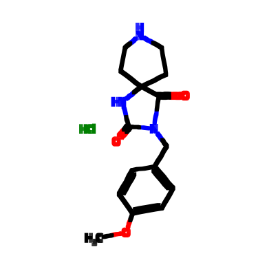 COc1ccc(CN2C(=O)NC3(CCNCC3)C2=O)cc1.Cl